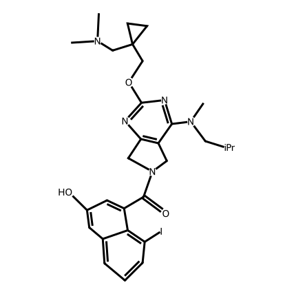 CC(C)CN(C)c1nc(OCC2(CN(C)C)CC2)nc2c1CN(C(=O)c1cc(O)cc3cccc(I)c13)C2